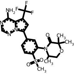 CC1COC(C)(C)C(=O)N1c1cc(-c2cc(C(F)(F)F)c3c(N)ncnn23)ccc1S(C)(=O)=O